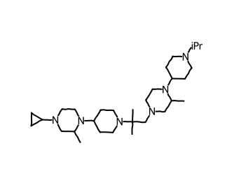 CC(C)N1CCC(N2CCN(CC(C)(C)N3CCC(N4CCN(C5CC5)CC4C)CC3)CC2C)CC1